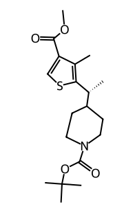 COC(=O)c1csc([C@H](C)C2CCN(C(=O)OC(C)(C)C)CC2)c1C